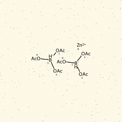 CC(=O)O[BH-](OC(C)=O)OC(C)=O.CC(=O)O[BH-](OC(C)=O)OC(C)=O.[Zn+2]